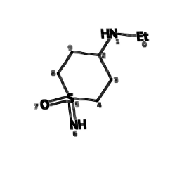 CCNC1CCS(=N)(=O)CC1